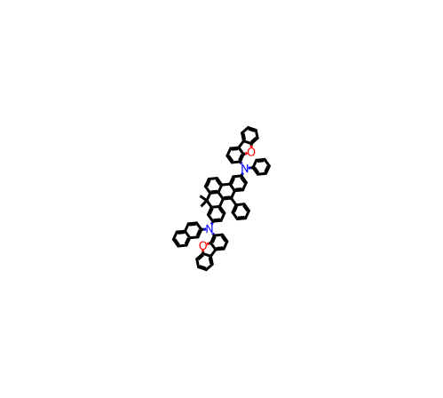 CC1(C)c2cc(N(c3ccc4ccccc4c3)c3cccc4c3oc3ccccc34)ccc2-c2c(-c3ccccc3)c3ccc(N(c4ccccc4)c4cccc5c4oc4ccccc45)cc3c3cccc1c23